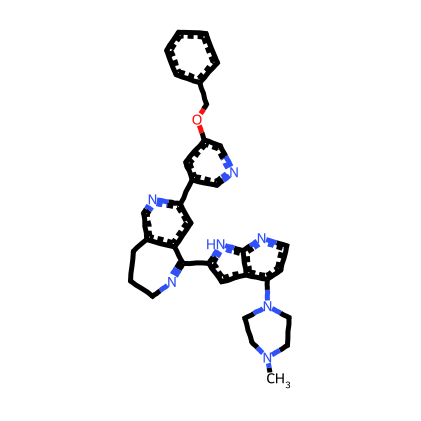 CN1CCN(c2ccnc3[nH]c(C4=NCCCc5cnc(-c6cncc(OCc7ccccc7)c6)cc54)cc23)CC1